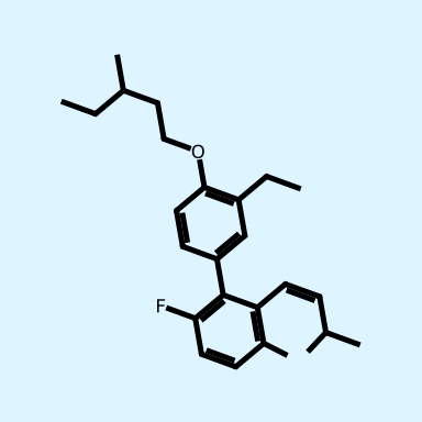 CCc1cc(-c2c(F)ccc(C)c2/C=C\C(C)C)ccc1OCCC(C)CC